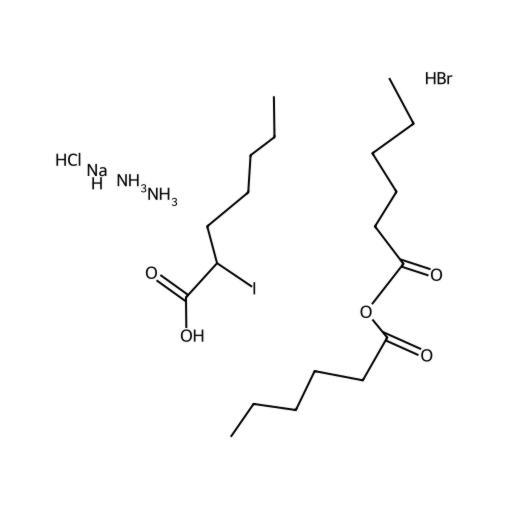 Br.CCCCCC(=O)OC(=O)CCCCC.CCCCCC(I)C(=O)O.Cl.N.N.[NaH]